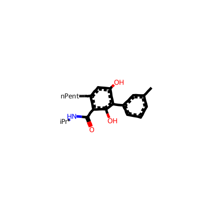 CCCCCc1cc(O)c(-c2cccc(C)c2)c(O)c1C(=O)NC(C)C